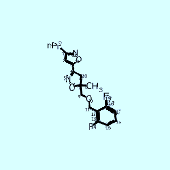 CCCc1cc(C2=NOC(C)(COCc3c(F)cccc3F)C2)on1